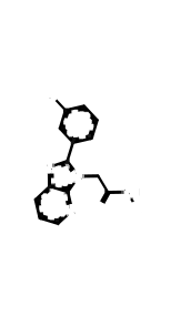 CNC(=O)Cn1c(-c2cccc(Br)c2)nc2cccnc21